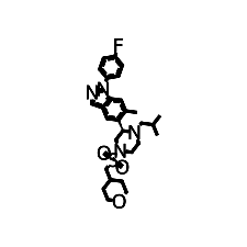 Cc1cc2c(cnn2-c2ccc(F)cc2)cc1[C@@H]1CN(S(=O)(=O)CC2CCOCC2)CCN1CC(C)C